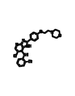 CCc1ccccc1Nc1c(Cl)cnc2nc(-c3ccc(OCCN4CCOCC4)cc3)[nH]c12